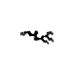 CC=CC(=O)NC(C)CN(C)C